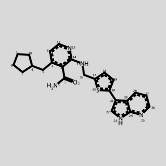 NC(=O)c1c(CC2CCCC2)ccnc1NCc1ccc(-c2c[nH]c3ncccc23)s1